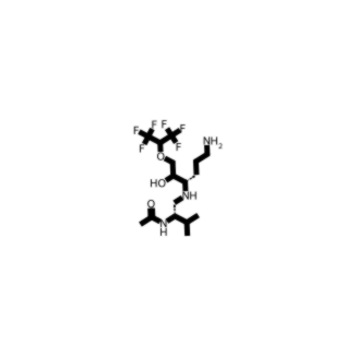 CC(=O)N[C@H](CN[C@@H](CCCN)C(O)COC(C(F)(F)F)C(F)(F)F)C(C)C